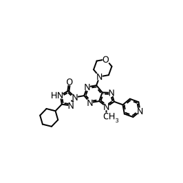 Cn1c(-c2ccncc2)nc2c(N3CCOCC3)nc(-n3nc(C4CCCCC4)[nH]c3=O)nc21